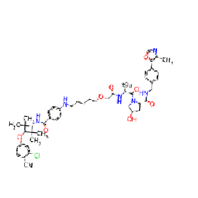 Cc1ncoc1-c1ccc(CNC(=O)[C@@H]2C[C@@H](O)CN2C(=O)C(NC(=O)COCCCCCNc2ccc(C(=O)N[C@H]3C(C)(C)[C@H](Oc4ccc(C#N)c(Cl)c4)C3(C)C)cc2)C(C)(C)C)cc1